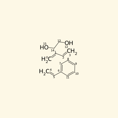 C=CC=C.C=Cc1ccccc1.OCCO